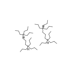 CCC[PH](CCC)(CCC)CCC[PH](CCC)(CCC)CCC.CCC[PH](CCC)(CCC)CCC[PH](CCC)(CCC)CCC